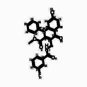 COC(=O)c1c(CNC(=O)c2cccc(F)c2)c(=O)c2ccc(Cl)cc2n1-c1ccccc1